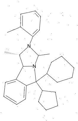 Cc1ccccc1N1C(C)N2C(c3ccccc3C2(C2CCCCC2)C2CCCC2)[C@@H]1C